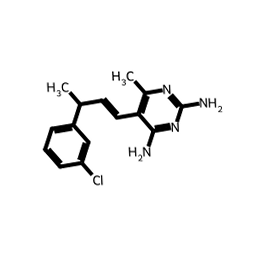 Cc1nc(N)nc(N)c1C=CC(C)c1cccc(Cl)c1